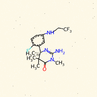 CN1C(=O)C(C)(C)[C@@](C)(c2cc(NCCC(F)(F)F)ccc2F)N=C1N